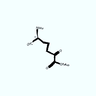 CN[C@H](C=O)CCC(=O)C(=O)OC